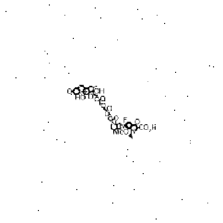 COc1c(N2CC3CCCN(C(=O)OCOC(=O)COCC(=O)OCC(=O)[C@@]4(O)[C@H](C)CC5C6CCC7=CC(=O)C=C[C@]7(C)[C@@]6(F)[C@@H](O)C[C@@]54C)C3C2)c(F)cc2c(=O)c(C(=O)O)cn(C3CC3)c12